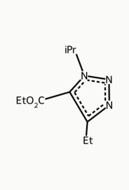 CCOC(=O)c1c(CC)nnn1C(C)C